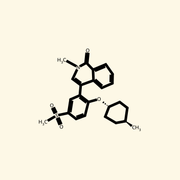 Cn1cc(-c2cc(S(C)(=O)=O)ccc2O[C@H]2CC[C@H](C)CC2)c2ccccc2c1=O